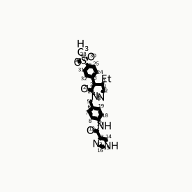 CCC1C=NN(Cc2ccc(NC(=O)c3c[nH]cn3)cc2)C(=O)C1c1ccc(S(C)(=O)=O)cc1